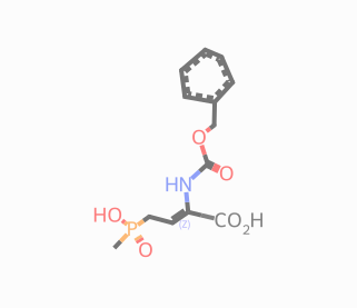 CP(=O)(O)C/C=C(\NC(=O)OCc1ccccc1)C(=O)O